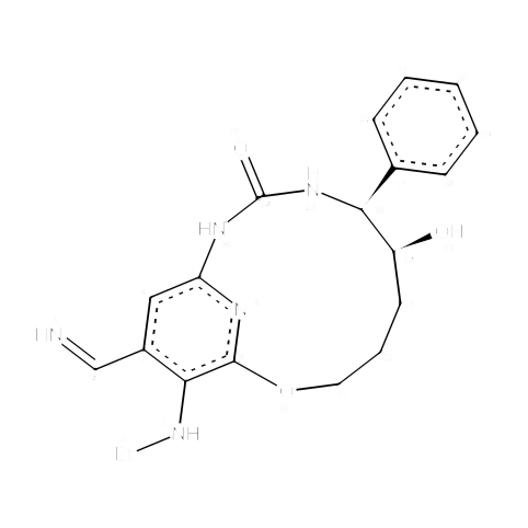 CCNc1c(C=N)cc2nc1OCCC[C@H](O)[C@H](c1ccccc1)NC(=O)N2